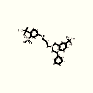 CC(C)(O)c1ccc(OCCCN(CCc2ccccc2)Cc2cccc(C(F)(F)F)c2)cc1S(C)(=O)=O